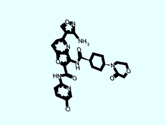 Nc1nocc1-c1ccc2oc(C(=O)Nc3ccc(Cl)cn3)c(NC(=O)[C@H]3CC[C@H](N4CCOCC4=O)CC3)c2n1